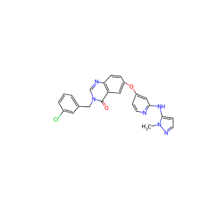 Cn1nccc1Nc1cc(Oc2ccc3ncn(Cc4cccc(Cl)c4)c(=O)c3c2)ccn1